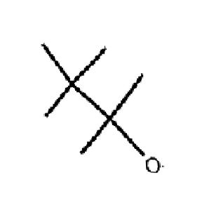 CC(C)(C)C(C)(C)[O]